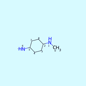 CNC1CCC([NH])CC1